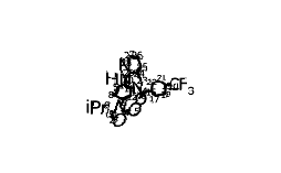 CC(C)[C@H]1COC(=O)N1c1ccc2c(c1)N(C(=O)C1CCC(C(F)(F)F)CC1)Cc1cccnc1N2